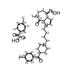 CN1CC/C(=N/O)C2C=CN(CCCCN3CCC(C(=O)c4ccc(F)cc4)CC3)C2C1=O.Cc1ccc(S(=O)(=O)O)cc1